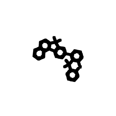 CC1(C)c2cc(-c3cccc4c3C(C)(C)c3ccccc3O4)ccc2-c2c1ccc1ccccc21